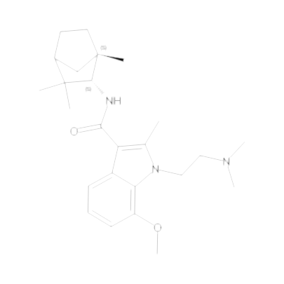 COc1cccc2c(C(=O)N[C@@H]3C(C)(C)C4CC[C@@]3(C)C4)c(C)n(CCN(C)C)c12